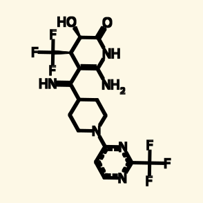 N=C(C1=C(N)NC(=O)[C@H](O)[C@@H]1C(F)(F)F)C1CCN(c2ccnc(C(F)(F)F)n2)CC1